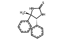 C[C@@]1(c2ccccc2)NC(=S)N[C@@H]1c1ccccc1